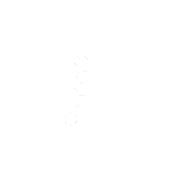 O=C(/C=C1\CCCOc2cc(C(F)(F)F)ccc21)Nc1ccc2c(c1)NC(=O)N(CCCCO)C2